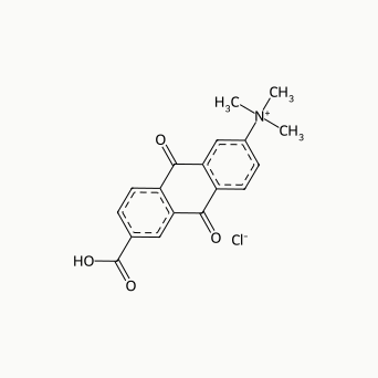 C[N+](C)(C)c1ccc2c(c1)C(=O)c1ccc(C(=O)O)cc1C2=O.[Cl-]